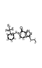 CCCc1nnc2c(=O)n(Cc3ccccc3C(F)(F)F)ccn12